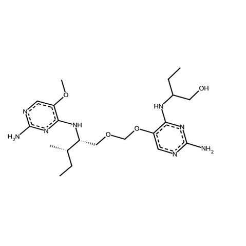 CCC(CO)Nc1nc(N)ncc1OCOC[C@@H](Nc1nc(N)ncc1OC)[C@@H](C)CC